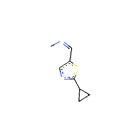 C/N=C\c1cnc(C2CC2)s1